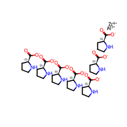 O=C([O-])[C@@H]1CCCN1.O=C([O-])[C@@H]1CCCN1.O=C([O-])[C@@H]1CCCN1.O=C([O-])[C@@H]1CCCN1.O=C([O-])[C@@H]1CCCN1.O=C([O-])[C@@H]1CCCN1.O=C([O-])[C@@H]1CCCN1.[Al+3].[Zr+4]